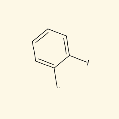 [CH2]c1ccccc1I